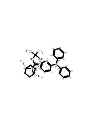 CC(C)(C)OC(=O)N1[C@H]2CC[C@@H]1[C@@H](c1ccc([S+](c3ccccc3)c3ccccc3)nc1)C2